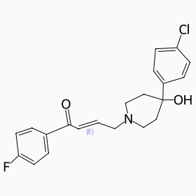 O=C(/C=C/CN1CCC(O)(c2ccc(Cl)cc2)CC1)c1ccc(F)cc1